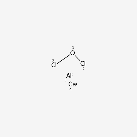 ClOCl.[Al].[Ca]